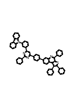 c1ccc(-c2nc(-c3ccc(-c4ccc5c(c4)nc(-c4ccccc4)c4sc(-c6ccccc6)c(-c6ccccc6)c45)cc3)cc(-c3cccc(-n4c5ccccc5c5ccccc54)c3)n2)cc1